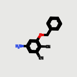 N#Cc1cc(N)cc(OCc2ccccc2)c1C#N